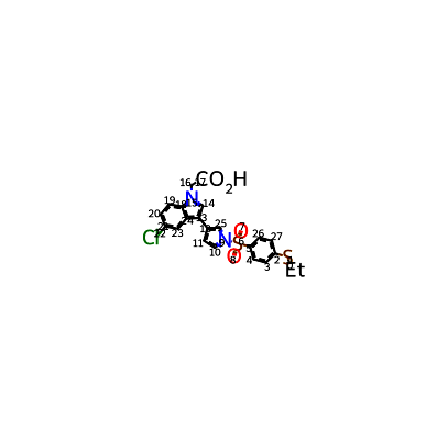 CCSc1ccc(S(=O)(=O)n2ccc(-c3cn(CC(=O)O)c4ccc(Cl)cc34)c2)cc1